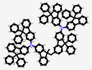 CC1(Cc2ccc3c(c2)-c2ccc(N(c4ccc5c(c4)-c4ccccc4C5(c4ccccc4)c4ccccc4)c4ccc5c(c4)C(c4ccccc4)(c4ccccc4)c4ccccc4-5)cc2C3(c2ccccc2)c2ccccc2)c2ccccc2-c2cc(N(c3ccc4c(c3)-c3ccccc3C4(c3ccccc3)c3ccccc3)c3ccc4c(c3)C(c3ccccc3)(c3ccccc3)c3ccccc3-4)ccc21